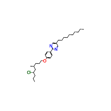 CCCCCCCCCCc1cnc(-c2ccc(OCCCC(C)CC(Cl)CCC)cc2)nc1